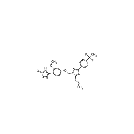 COc1cc(OCc2sc(-c3ccc(C(C)(F)F)cc3)nc2CSC)ccc1-c1noc(=O)[nH]1